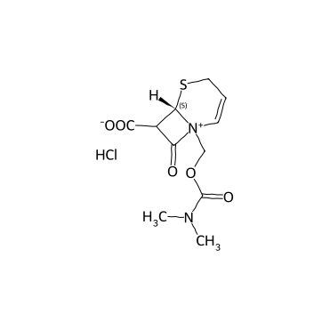 CN(C)C(=O)OC[N+]12C=CCS[C@H]1C(C(=O)[O-])C2=O.Cl